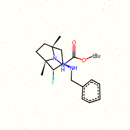 CC(C)(C)OC(=O)NN1[C@]2(C)CC[C@@]1(C)[C@H](F)[C@H](NCc1ccccc1)C2